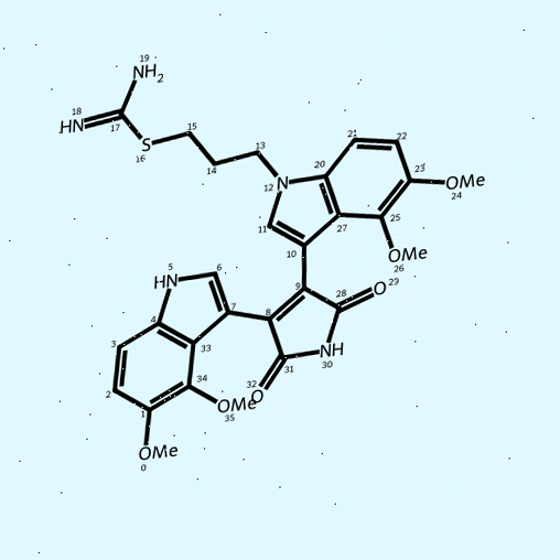 COc1ccc2[nH]cc(C3=C(c4cn(CCCSC(=N)N)c5ccc(OC)c(OC)c45)C(=O)NC3=O)c2c1OC